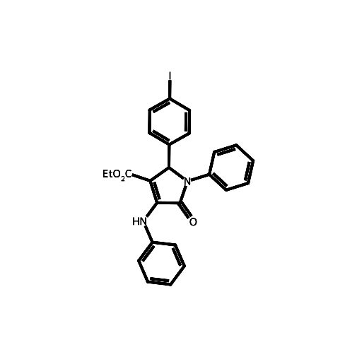 CCOC(=O)C1=C(Nc2ccccc2)C(=O)N(c2ccccc2)C1c1ccc(I)cc1